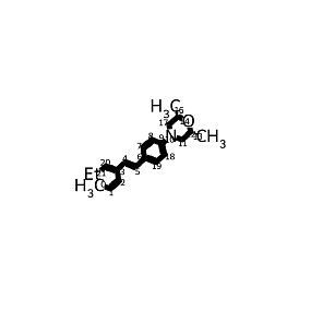 C\C=C/C(/C=C/c1ccc(N2C[C@@H](C)O[C@@H](C)C2)cc1)=C\CC